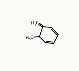 C=C1C=CC=CC1C